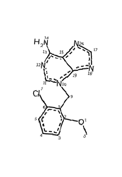 COc1cccc(Cl)c1Cn1cnc(N)c2ncnc1-2